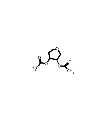 CC(=O)OC1CCOC[C@H]1OC(C)=O